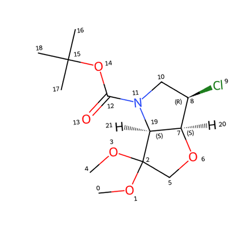 COC1(OC)CO[C@@H]2[C@H](Cl)CN(C(=O)OC(C)(C)C)[C@@H]21